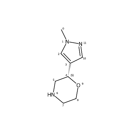 Cn1cc([C@H]2CNCCO2)cn1